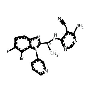 C[C@H](Nc1ncnc(N)c1C#N)c1nc2ccc(F)c(Br)c2n1-c1cccnc1